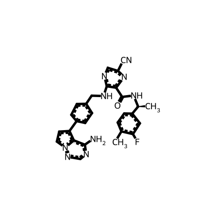 Cc1ccc([C@H](C)NC(=O)c2nc(C#N)cnc2NCc2ccc(-c3ccn4ncnc(N)c34)cc2)cc1F